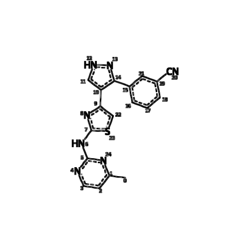 Cc1ccnc(Nc2nc(-c3c[nH]nc3-c3cccc(C#N)c3)cs2)n1